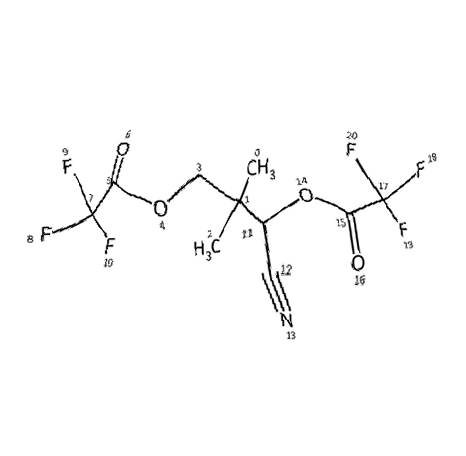 CC(C)(COC(=O)C(F)(F)F)C(C#N)OC(=O)C(F)(F)F